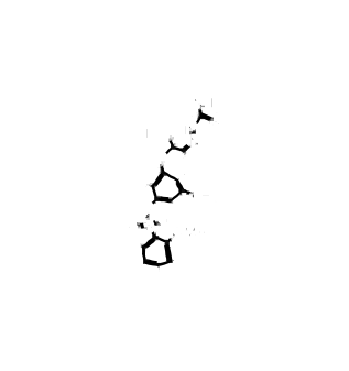 COc1ccccc1S(=O)(=O)Oc1cc(C)cc(OC(C)/C=N\NC(N)=S)c1